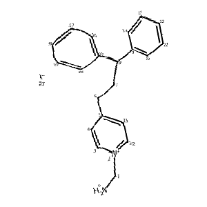 NC[n+]1ccc(CCC(c2ccccc2)c2ccccc2)cc1.[I-]